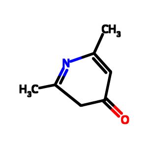 CC1=CC(=O)CC(C)=N1